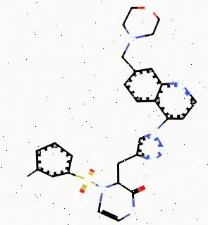 O=C1NC=CN(S(=O)(=O)c2cccc(C(F)(F)F)c2)C1Cc1cn(-c2ccnc3cc(CN4CCOCC4)ccc23)nn1